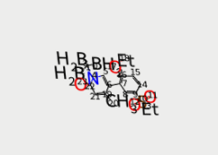 BC(B)(B)n1cc(-c2cc(S(=O)(=O)CC)ccc2OCC)c(C)cc1=O